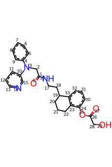 O=C(CN(c1ccccc1)c1cccnc1)NCCC1CCCc2c(OC(=O)CO)cccc21